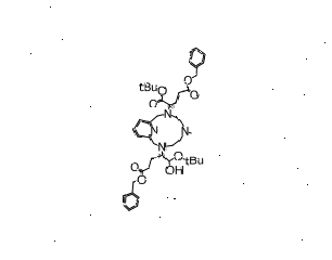 CN1CCN([C@H](CCC(=O)OCc2ccccc2)C(=O)OC(C)(C)C)Cc2cccc(n2)CN([C@H](CCC(=O)OCc2ccccc2)C(O)OC(C)(C)C)CC1